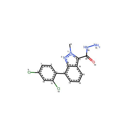 Cn1nc2c(-c3ccc(Cl)cc3Cl)cccc2c1C(=O)NN